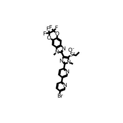 CC[S+]([O-])c1c(-c2nc3cc4c(cc3n2C)OC(F)(F)C(F)(F)O4)nc(-c2ccc(-c3ccc(Br)cn3)cn2)n1C